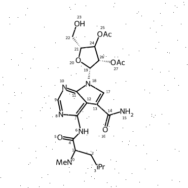 CNC(CC(C)C)C(=O)Nc1ncnc2c1c(C(N)=O)cn2[C@@H]1O[C@H](CO)C(OC(C)=O)[C@@H]1OC(C)=O